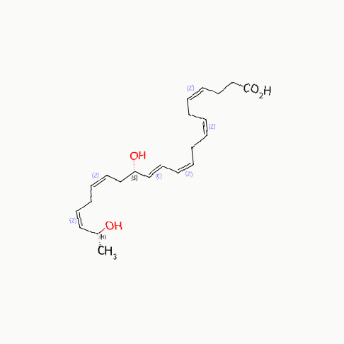 C[C@@H](O)/C=C\C/C=C\C[C@H](O)/C=C/C=C\C/C=C\C/C=C\CCC(=O)O